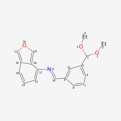 CCOC(OCC)c1cccc(C=Nc2cccc3cocc23)c1